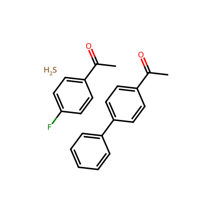 CC(=O)c1ccc(-c2ccccc2)cc1.CC(=O)c1ccc(F)cc1.S